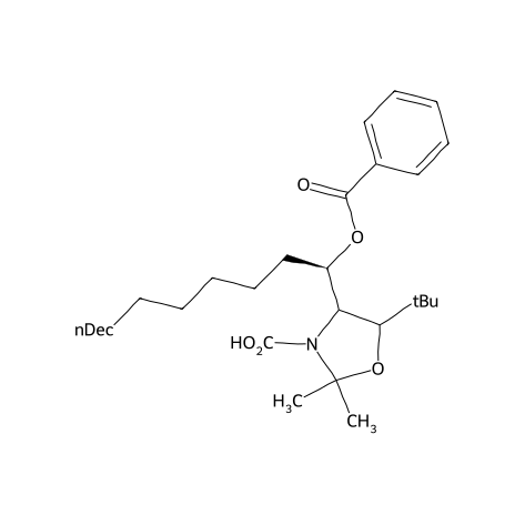 CCCCCCCCCCCCCCC[C@@H](OC(=O)c1ccccc1)C1C(C(C)(C)C)OC(C)(C)N1C(=O)O